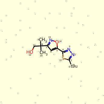 CC(C)(C)c1nnc(-c2cc(C(C)(C)CO)no2)s1